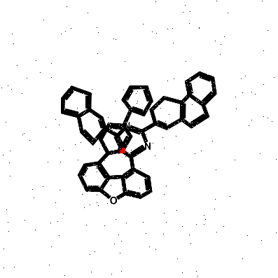 C1=CC(c2cccc3oc4cccc(-c5nc(C6=Cc7ccc8ccccc8c7CC6)nc(-c6ccc7ccccc7c6)n5)c4c23)CC=C1c1ccccc1